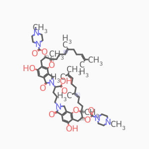 CC(C)=CCC/C(C)=C/CC[C@@]1(C)Oc2c(c(O)cc3c2CN(CCCC(C(=O)O)N2Cc4c(cc(O)c5c4O[C@](C)(CC/C=C(\C)CCC=C(C)C)[C@@H](OC(=O)N4CCN(C)CC4)C5)C2=O)C3=O)C[C@@H]1OC(=O)N1CCN(C)CC1